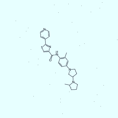 Cc1cc(N2CCC(N3CCCC3C)C2)ccc1NC(=O)c1csc(-c2ccncc2)n1